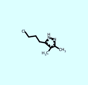 Cc1n[nH]c(CCCCl)c1C